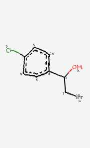 CC(C)CC(O)c1ccc(Cl)cc1